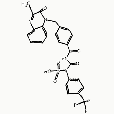 Cc1nc2ccccc2n(Cc2ccc(C(=O)NC(=O)N(c3ccc(C(F)(F)F)cc3)S(=O)(=O)O)cc2)c1=O